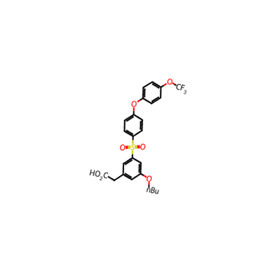 CCCCOc1cc(CC(=O)O)cc(S(=O)(=O)c2ccc(Oc3ccc(OC(F)(F)F)cc3)cc2)c1